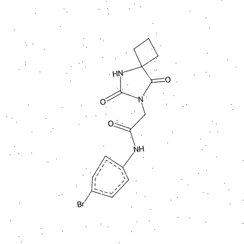 O=C(CN1C(=O)NC2(CCC2)C1=O)Nc1ccc(Br)cc1